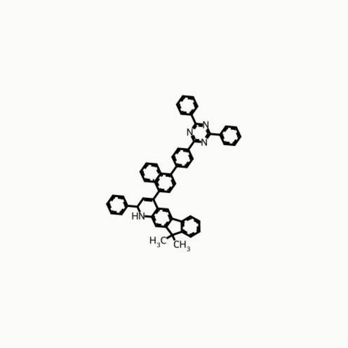 CC1(C)c2ccccc2-c2cc3c(cc21)NC(c1ccccc1)C=C3c1ccc(-c2ccc(-c3nc(-c4ccccc4)nc(-c4ccccc4)n3)cc2)c2ccccc12